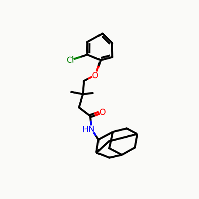 CC(C)(COc1ccccc1Cl)CC(=O)NC1C2CC3CC(C2)CC1C3